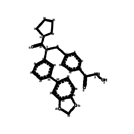 O=C(NO)c1ccc(CN(C(=O)N2CCCC2)c2cccc(-c3ccc4c(c3)OCO4)c2)cc1